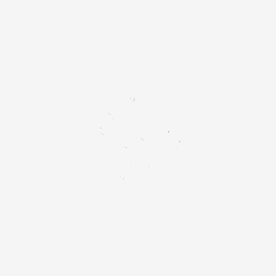 CC(C)(C)c1nnc(N)o1.Cl.NNC(N)=O